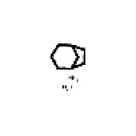 C1CC2CCC(C1)C2.N.O